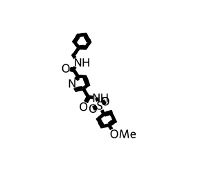 COc1ccc(S(=O)(=O)NC(=O)c2ccc(C(=O)NCc3ccccc3)nc2)cc1